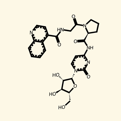 O=C(NCC(=O)N1CCC[C@H]1C(=O)Nc1ccn([C@@H]2O[C@H](CO)[C@@H](O)[C@@H]2O)c(=O)n1)c1ccnc2ccccc12